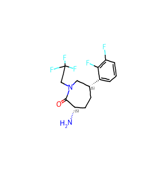 N[C@H]1CC[C@@H](c2cccc(F)c2F)CN(CC(F)(F)F)C1=O